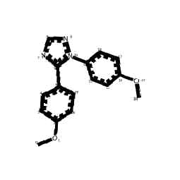 COc1ccc(-c2n[c]nn2-c2ccc(OC)cc2)cc1